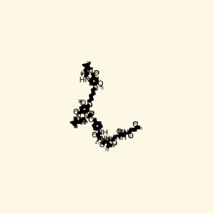 COc1cc2c(cc1OCCCCCOc1cc3c(cc1OC)C(=O)N1CC4(CC4)C[C@H]1[C@H](C)N3C(=O)OCc1ccc(NC(=O)[C@H](C)NC(=O)[C@@H](NC(=O)CNC(=O)CNC(=O)CCC(C)=O)C(C)C)cc1)NC[C@@H]1CC3(CC3)CN1C2=O